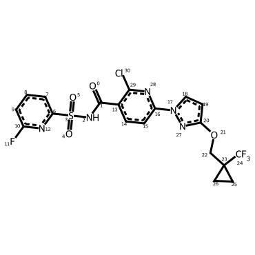 O=C(NS(=O)(=O)c1cccc(F)n1)c1ccc(-n2ccc(OCC3(C(F)(F)F)CC3)n2)nc1Cl